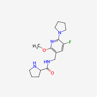 COc1nc(N2CCCC2)c(F)cc1CNC(=O)C1CCCN1